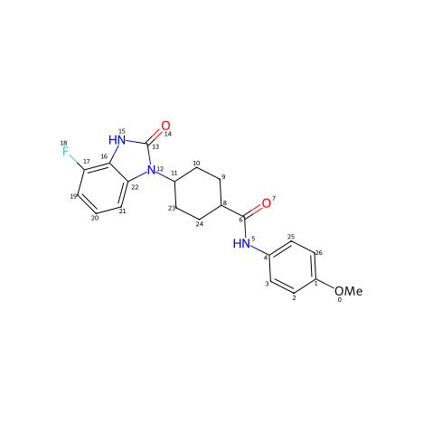 COc1ccc(NC(=O)C2CCC(n3c(=O)[nH]c4c(F)cccc43)CC2)cc1